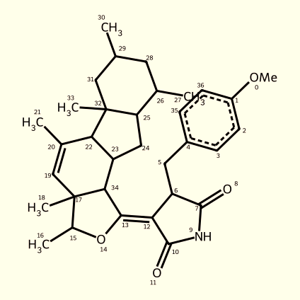 COc1ccc(CC2C(=O)NC(=O)/C2=C2\OC(C)C3(C)C=C(C)C4C(CC5C(C)CC(C)CC54C)C23)cc1